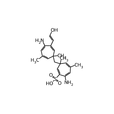 CC1=CC(C)(CC2(C)C=C(C)C=C(N)C(S(=O)(=O)O)=C2)C=C(/C=C/O)C(N)=C1